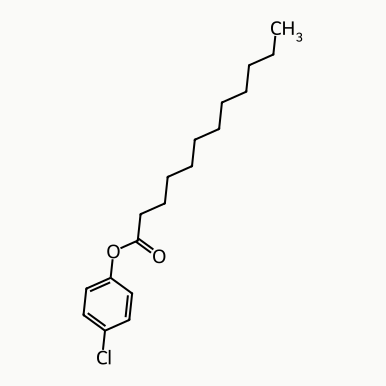 CCCCCCCCCCCC(=O)Oc1ccc(Cl)cc1